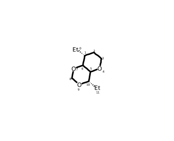 CC[C@@H]1CCOC2C1OCO[C@H]2CC